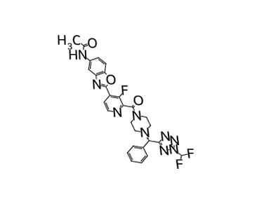 CC(=O)Nc1ccc2oc(-c3ccnc(C(=O)N4CCN([C@H](c5ccccc5)c5nnn(C(F)F)n5)CC4)c3F)nc2c1